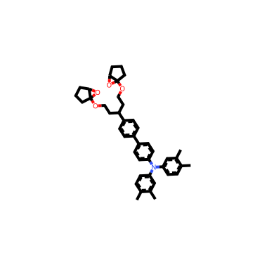 Cc1ccc(N(c2ccc(-c3ccc(C(CCOC45CCCC4O5)CCOC45CCCC4O5)cc3)cc2)c2ccc(C)c(C)c2)cc1C